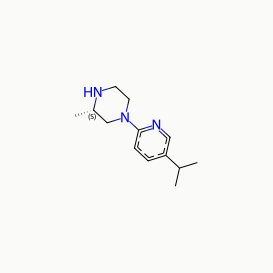 CC(C)c1ccc(N2CCN[C@@H](C)C2)nc1